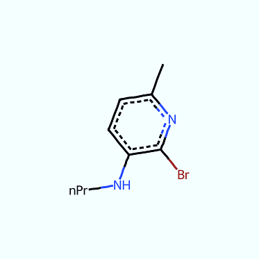 CCCNc1ccc(C)nc1Br